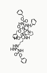 N=C(NCCC[C@H](NC(=O)[C@@H]1CCCN1C(=O)[C@@H](Cc1ccccc1)NC(=NC(=O)OCc1ccccc1)NC(=O)OCc1ccccc1)C(=O)O)NC(=O)OCc1ccccc1